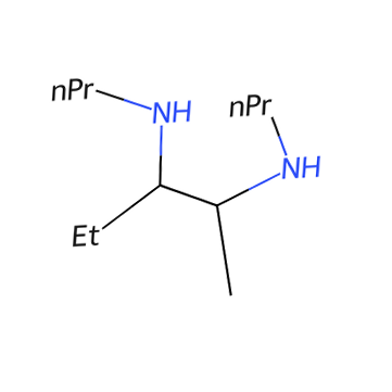 CCCNC(C)C(CC)NCCC